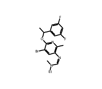 CCN(C)/C=N\c1cc(Br)c(OC(C)c2cc(F)cc(F)c2)nc1C